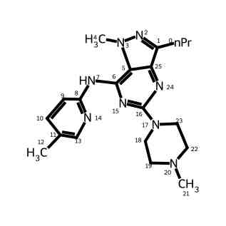 CCCc1nn(C)c2c(Nc3ccc(C)cn3)nc(N3CCN(C)CC3)nc12